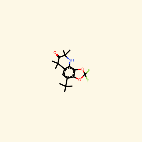 CC1(C)Nc2c(cc(C(C)(C)C)c3c2OC(F)(F)O3)C(C)(C)C1=O